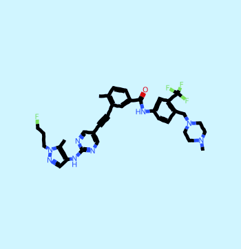 Cc1ccc(C(=O)Nc2ccc(CN3CCN(C)CC3)c(C(F)(F)F)c2)cc1C#Cc1cnc(Nc2cnn(CCCF)c2C)nc1